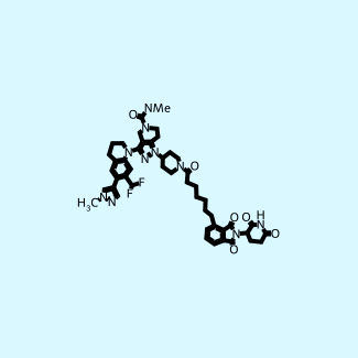 CNC(=O)N1CCc2c(c(N3CCCc4cc(-c5cnn(C)c5)c(C(F)F)cc43)nn2C2CCN(C(=O)CCCCCCc3cccc4c3C(=O)N(C3CCC(=O)NC3=O)C4=O)CC2)C1